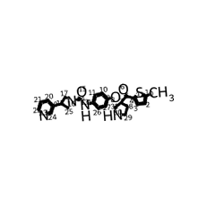 Cc1ccc(C(=O)[C@@]2(Oc3ccc(NC(=O)N4CC(c5cccnc5)C4)cc3)CCNC2)s1